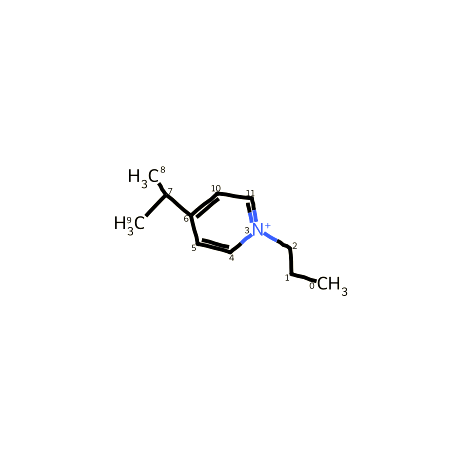 CCC[n+]1ccc(C(C)C)cc1